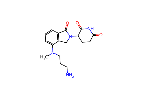 CN(CCCN)c1cccc2c1CN(C1CCC(=O)NC1=O)C2=O